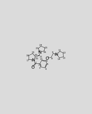 O=C(c1cccc(OCCN2CCCC2)c1)N1CCC[C@H]1CN1CCCC1